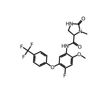 COc1cc(F)c(Oc2ccc(C(F)(F)F)cc2)cc1NC(=O)C1CNC(=O)N1C